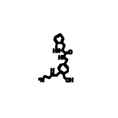 C=NCCNCC1=C(CO)CC=C(CNC(=O)C2Cc3ccccc3CN2)C=C1